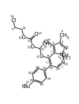 CCn1nc(C)c(Cl)c1/C(OC(C)OC(=O)OCCCl)=C(\C=N/C)c1ccc(C(C)(C)C)cc1